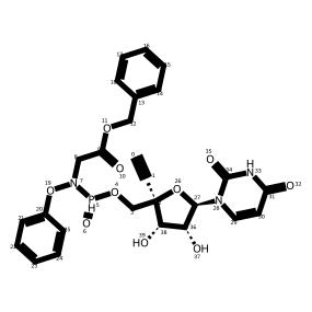 C#C[C@]1(CO[PH](=O)N(CC(=O)OCc2ccccc2)Oc2ccccc2)O[C@@H](n2ccc(=O)[nH]c2=O)[C@H](O)[C@@H]1O